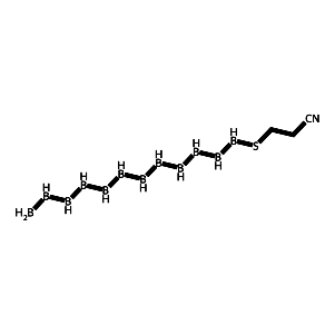 BBBBBBBBBBBBSCCC#N